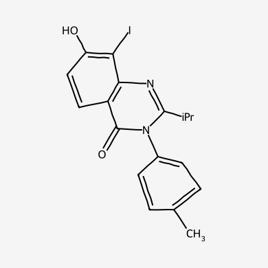 Cc1ccc(-n2c(C(C)C)nc3c(I)c(O)ccc3c2=O)cc1